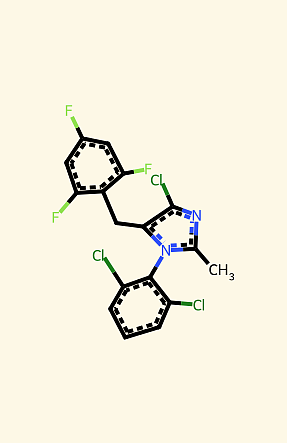 Cc1nc(Cl)c(Cc2c(F)cc(F)cc2F)n1-c1c(Cl)cccc1Cl